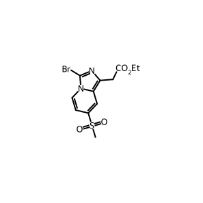 CCOC(=O)Cc1nc(Br)n2ccc(S(C)(=O)=O)cc12